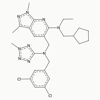 CCN(CC1CCCC1)c1nc2c(cc1CN(Cc1cc(Cl)cc(Cl)c1)c1nnn(C)n1)c(C)nn2C